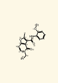 CCOc1ccccc1NC(=O)c1c(C)oc2ncn(CC(C)C)c(=O)c12